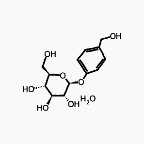 O.OCc1ccc(O[C@@H]2O[C@H](CO)[C@@H](O)[C@H](O)[C@H]2O)cc1